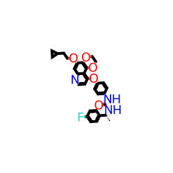 C[C@@H](NC(=O)Nc1ccc(Oc2ccnc3cc(OCCC4CC4)c4c(c23)OCCO4)cc1)c1ccc(F)cc1